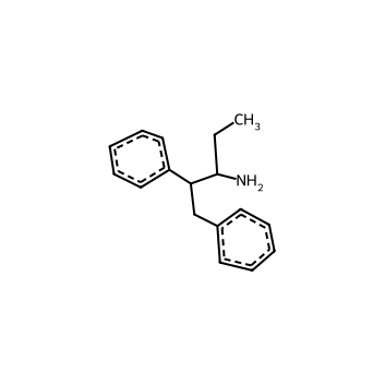 CCC(N)C(Cc1ccccc1)c1ccccc1